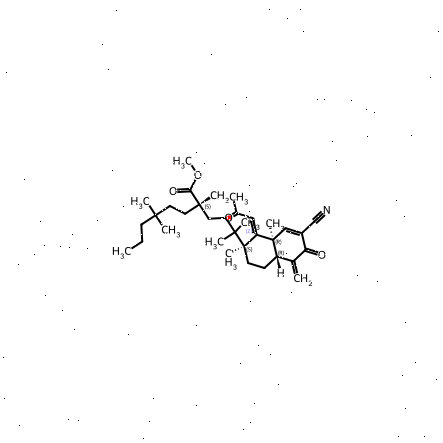 C=C1C(=O)C(C#N)=C[C@]2(C)/C(=C/C(C)=O)[C@](C)(C(C)(C)CC[C@](C)(CCC(C)(C)CCC)C(=O)OC)CC[C@@H]12